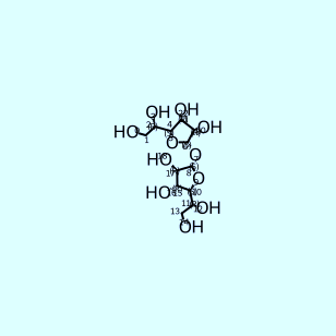 OC[C@@H](O)[C@@H]1O[C@@H](O[C@@H]2O[C@@H]([C@H](O)CO)[C@H](O)[C@H]2O)[C@H](O)[C@H]1O